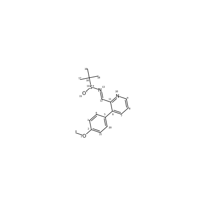 COc1ccc(-c2cccnc2/C=N/[S+]([O-])C(C)(C)C)cc1